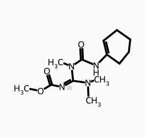 COC(=O)/N=C(/N(C)C)N(C)C(=O)NC1=CCCCC1